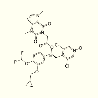 Cn1cnc2c1c(=O)n(CC(=O)O[C@@H](Cc1c(Cl)c[n+]([O-])cc1Cl)c1ccc(OC(F)F)c(OCC3CC3)c1)c(=O)n2C